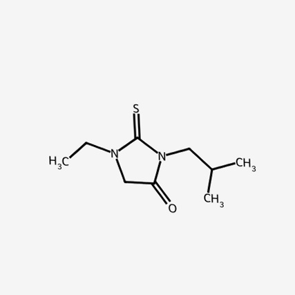 CCN1CC(=O)N(CC(C)C)C1=S